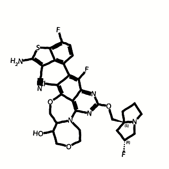 N#Cc1c(N)sc2c(F)ccc(-c3c(Cl)c4c5c(nc(OC[C@@]67CCCN6C[C@H](F)C7)nc5c3F)N3CCOCC(O)C3CO4)c12